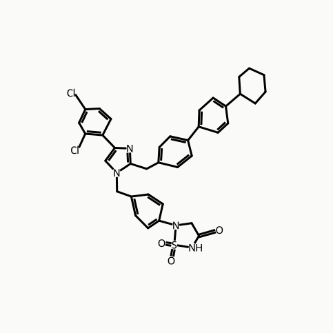 O=C1CN(c2ccc(Cn3cc(-c4ccc(Cl)cc4Cl)nc3Cc3ccc(-c4ccc(C5CCCCC5)cc4)cc3)cc2)S(=O)(=O)N1